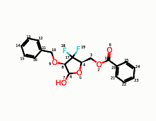 O=C(OC[C@H]1OC(O)[C@@H](OCc2ccccc2)C1(F)F)c1ccccc1